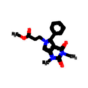 COC(=O)CCn1cc2c(c1-c1ccccc1)c(=O)n(C)c(=O)n2C